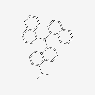 CC(C)c1cccc2c(N(c3cccc4ccccc34)c3cccc4ccccc34)cccc12